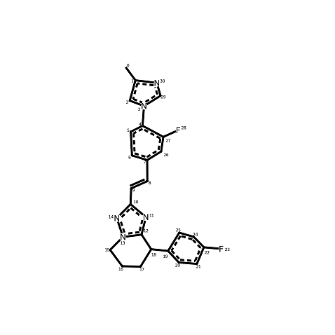 Cc1cn(-c2ccc(C=Cc3nc4n(n3)CCCC4c3ccc(F)cc3)cc2F)cn1